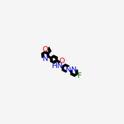 O=C(NC1CCN(c2ccc(F)cn2)CC1)c1ccc(-c2nccc3occc23)cc1